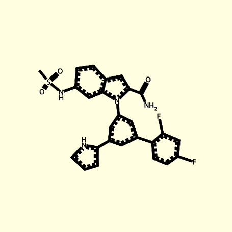 CS(=O)(=O)Nc1ccc2cc(C(N)=O)n(-c3cc(-c4ccc[nH]4)cc(-c4ccc(F)cc4F)c3)c2c1